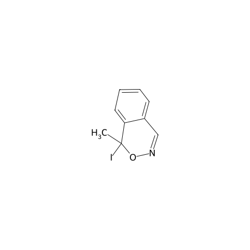 CC1(I)ON=Cc2ccccc21